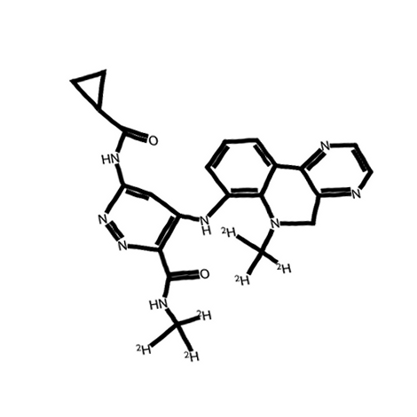 [2H]C([2H])([2H])NC(=O)c1nnc(NC(=O)C2CC2)cc1Nc1cccc2c1N(C([2H])([2H])[2H])Cc1nccnc1-2